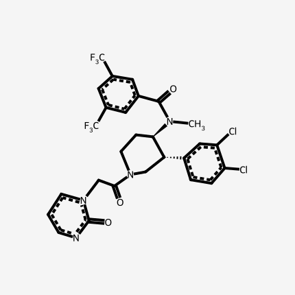 CN(C(=O)c1cc(C(F)(F)F)cc(C(F)(F)F)c1)[C@@H]1CCN(C(=O)Cn2cccnc2=O)C[C@H]1c1ccc(Cl)c(Cl)c1